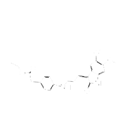 CCOC(=O)Cc1ccc(NCCC=C2C(=O)Nc3cc(OC)c(OC)cc32)cc1